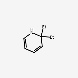 C[CH]C1(CC)C=CC=CN1